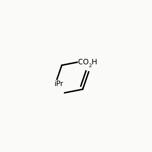 C=CC.CC(C)CC(=O)O